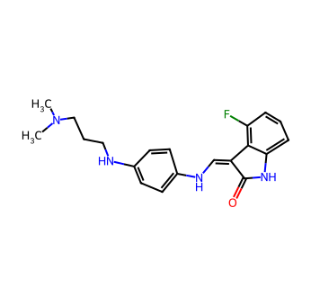 CN(C)CCCNc1ccc(NC=C2C(=O)Nc3cccc(F)c32)cc1